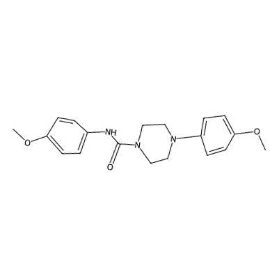 COc1ccc(NC(=O)N2CCN(c3ccc(OC)cc3)CC2)cc1